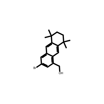 CC1(C)CCC(C)(C)c2cc3c(CO)cc(Br)cc3cc21